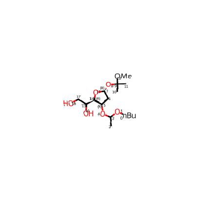 CCCCOC(C)O[C@@H]1C[C@@H](OC(C)(C)OC)O[C@@H]1C(O)CO